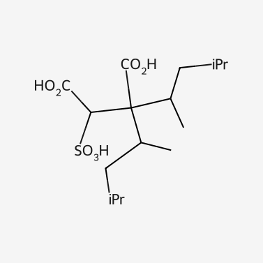 CC(C)CC(C)C(C(=O)O)(C(C)CC(C)C)C(C(=O)O)S(=O)(=O)O